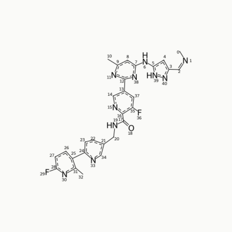 C/N=C\c1cc(Nc2cc(C)nc(-c3cnc(C(=O)NCc4ccc(-c5ccc(F)nc5C)nc4)c(F)c3)n2)[nH]n1